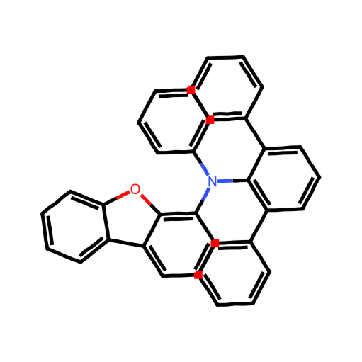 c1ccc(-c2cccc(-c3ccccc3)c2N(c2ccccc2)c2cccc3c2oc2ccccc23)cc1